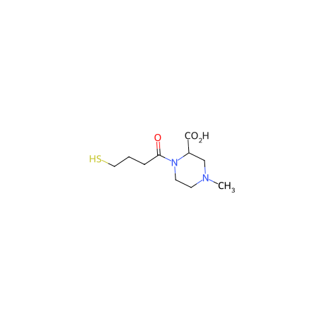 CN1CCN(C(=O)CCCS)C(C(=O)O)C1